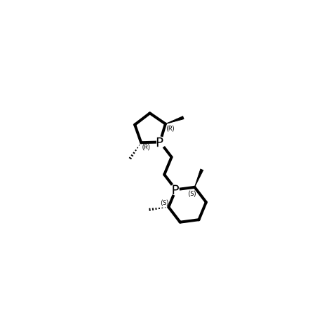 C[C@@H]1CC[C@@H](C)P1CCP1[C@@H](C)CCC[C@@H]1C